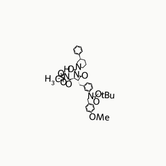 COc1ccc(CN(C(=O)OC(C)(C)C)c2cccc(C[C@H]3C(=O)N(C(=O)N4CCC[C@H](c5ccccc5)C4)[C@@H]3C(=O)NS(C)(=O)=O)c2)cc1